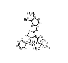 CC(C)(C)OC(=O)N1C(Cc2ccc(N)c(Br)c2)CC[C@@H]1[C@H](O)c1cccnc1